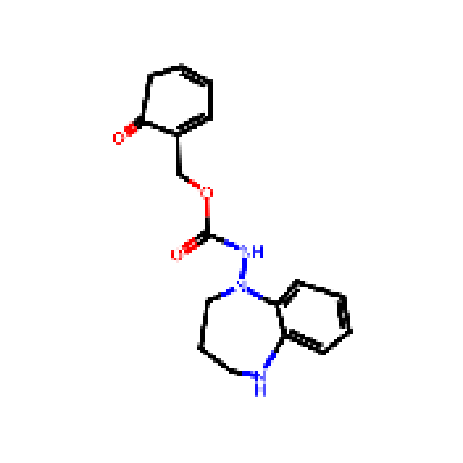 O=C(NN1CCCNc2ccccc21)OCC1=CC=CCC1=O